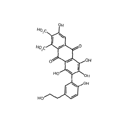 O=C(O)c1c(O)cc2c(c1C(=O)O)C(=O)c1c(O)c(-c3cc(CCO)ccc3O)c(O)c(O)c1C2=O